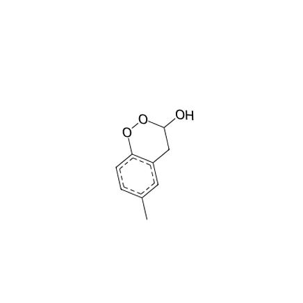 Cc1ccc2c(c1)CC(O)OO2